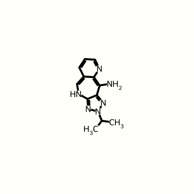 CC(C)n1nc2c(n1)C(N)=c1ncccc1=CN2